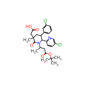 CC(CC(=O)OC(C)(C)C)N1C(=O)C(C)(CC(=O)O)CC(c2cccc(Cl)c2)C1c1ccc(Cl)cn1